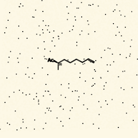 C=CCCCC[C@@H](C)C(C)=O